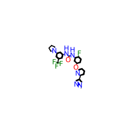 Cn1cc(-c2cccc(Oc3ccc(F)c(NC(=O)Nc4cc(N5CCCC5)cc(C(F)(F)F)c4)c3)n2)cn1